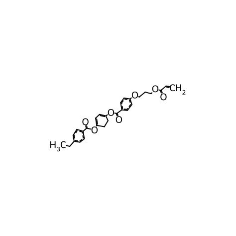 C=CC(=O)OCCCOc1ccc(C(=O)OC2=CC=C(OC(=O)c3ccc(CC)cc3)CC2)cc1